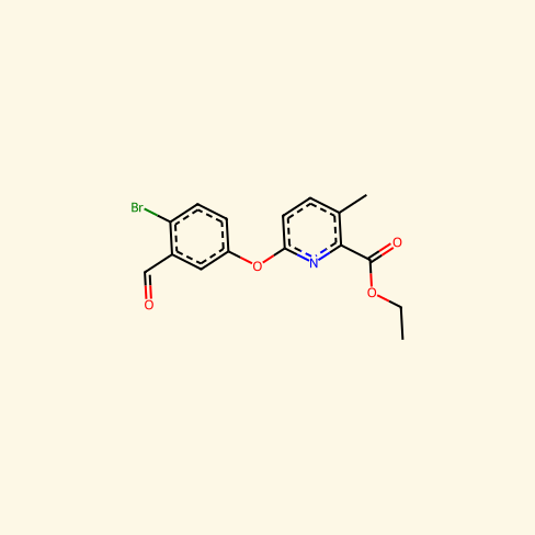 CCOC(=O)c1nc(Oc2ccc(Br)c(C=O)c2)ccc1C